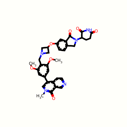 COc1cc(-c2cn(C)c(=O)c3cnccc23)cc(OC)c1CN1CC(Oc2ccc3c(c2)C(=O)N(C2CCC(=O)NC2=O)C3)C1